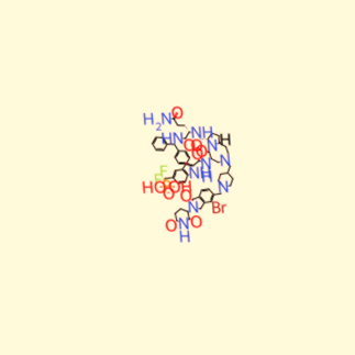 NC(=O)CC[C@H](NC(=O)[C@@H]1CC[C@@H]2CCN(CC3CCN(Cc4ccc5c(c4Br)CN(C4CCC(=O)NC4=O)C5=O)CC3)C[C@H](NC(=O)c3cc4cc(C(F)(F)P(=O)(O)O)ccc4[nH]3)C(=O)N21)C(=O)NC(c1ccccc1)c1ccccc1